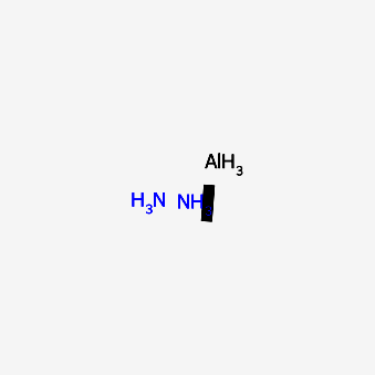 C=C.N.N.[AlH3]